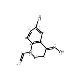 O=CN1CCC(=NO)c2cc(Cl)ccc21